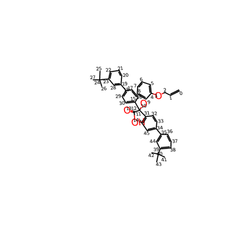 C=CCOc1ccccc1OC(C(=O)O)(c1ccc(-c2cccc(C(C)(C)C)c2)cc1)c1ccc(-c2cccc(C(C)(C)C)c2)cc1